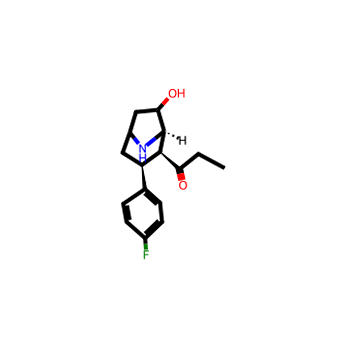 CCC(=O)[C@H]1[C@@H](c2ccc(F)cc2)CC2CC(O)[C@@H]1N2